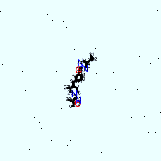 Cc1onc(N2CCC(=Cc3cccc(Oc4ncc(C5CC5)cn4)c3)C(C)C2)c1C